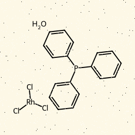 O.[Cl][Rh]([Cl])[Cl].c1ccc(P(c2ccccc2)c2ccccc2)cc1